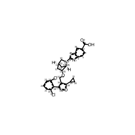 O=C(O)c1ccc2nc(N3C[C@@H]4C[C@H](OCc5c(-c6c(Cl)cccc6Cl)noc5C5CC5)[C@H]3C4)sc2c1